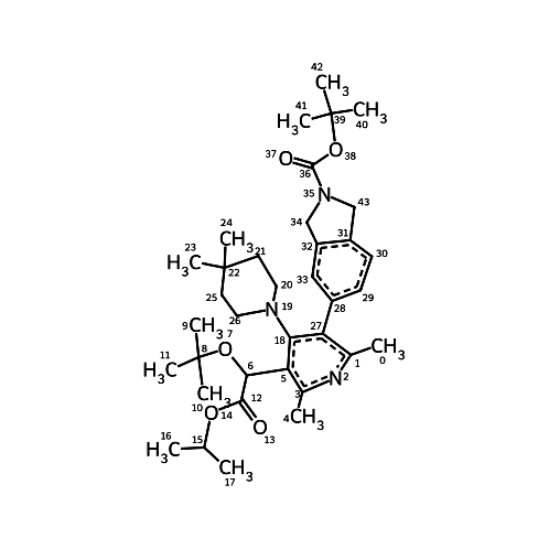 Cc1nc(C)c(C(OC(C)(C)C)C(=O)OC(C)C)c(N2CCC(C)(C)CC2)c1-c1ccc2c(c1)CN(C(=O)OC(C)(C)C)C2